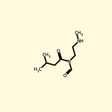 CNCCN(C=O)C(=O)CC(C)C